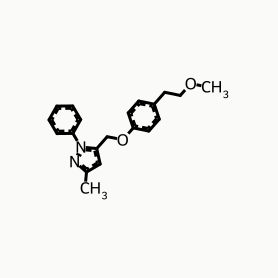 COCCc1ccc(OCc2cc(C)nn2-c2ccccc2)cc1